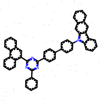 c1ccc(-c2nc(-c3ccc(-c4ccc(-n5c6ccccc6c6cc7ccccc7cc65)cc4)cc3)nc(-c3cc4ccccc4c4ccccc34)n2)cc1